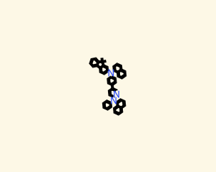 CC1(C)c2ccccc2-c2ccc(N(c3ccc(-c4ccc(N(c5ccccc5)c5cccc6ccccc56)nc4)cc3)c3cccc4ccccc34)cc21